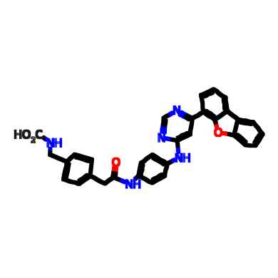 O=C(O)NCc1ccc(CC(=O)Nc2ccc(Nc3cc(-c4cccc5c4oc4ccccc45)ncn3)cc2)cc1